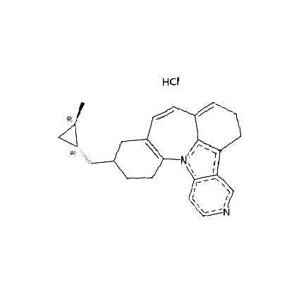 C[C@@H]1C[C@H]1CC1CCC2=C(C=CC3=CCCc4c3n2c2ccncc42)C1.Cl